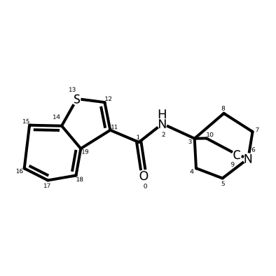 O=C(NC12CCN(CC1)CC2)c1csc2ccccc12